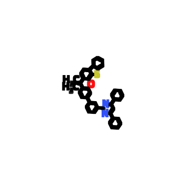 CC1(C)c2ccc(-c3cccc(-c4nc(-c5ccccc5)cc(-c5ccccc5)n4)c3)cc2Oc2c1ccc1c2sc2ccccc21